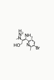 Cc1nc(/C(N)=C(\CO)N(C)N)ccc1Br